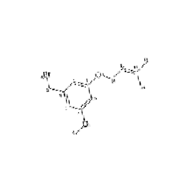 COc1cc(CBr)cc(OCC=C(C)C)c1